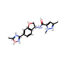 Cc1cc(C(=O)N[C@@H]2COc3cc(-c4noc(C)n4)ccc32)n(C)n1